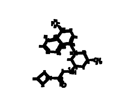 C[C@H]1C[C@@H](NCC(=O)N2CCC2)CN(c2ccc(C(F)(F)F)c3ncccc23)C1